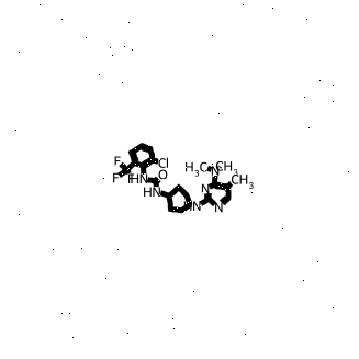 Cc1cnc(NC2CCC(NC(=O)Nc3c(Cl)cccc3C(F)(F)F)CC2)nc1N(C)C